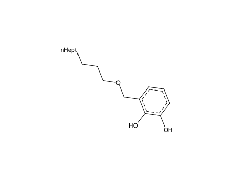 CCCCCCCCCCOCc1cccc(O)c1O